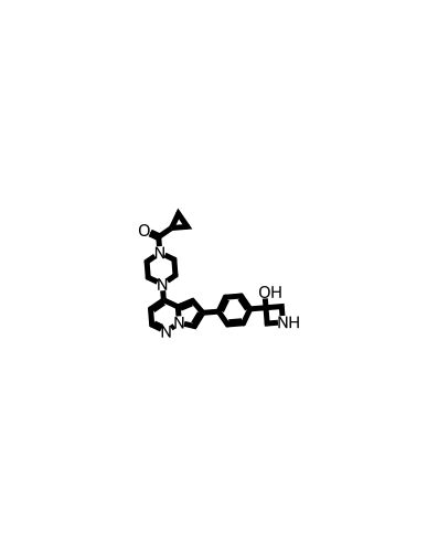 O=C(C1CC1)N1CCN(c2ccnn3cc(-c4ccc(C5(O)CNC5)cc4)cc23)CC1